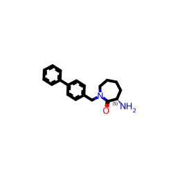 N[C@H]1CCCCN(Cc2ccc(-c3ccccc3)cc2)C1=O